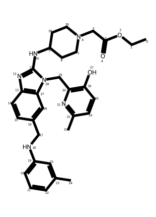 CCOC(=O)CN1CCC(Nc2nc3ccc(CNc4cccc(C)c4)cc3n2Cc2nc(C)ccc2O)CC1